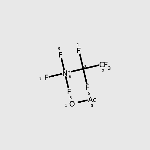 CC(=O)[O-].FC(F)(F)C(F)(F)[N+](F)(F)F